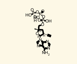 C#C[C@H]1C[C@@](C)(COP(=O)(O)OP(=O)(O)OP(=O)(O)O)O[C@H]1n1cnc2c(N)ncnc21